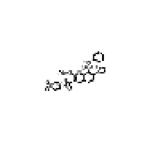 COc1nc2c(S(=O)(=O)Nc3ccccc3)c(C3CCC3)ccc2cc1C(=O)N[C@@H]1C=CS(=O)(=O)C1